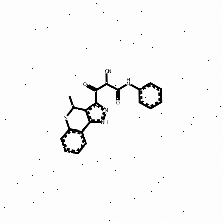 CC1Sc2ccccc2-c2[nH]nc(C(=O)C(C#N)C(=O)Nc3ccccc3)c21